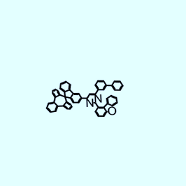 c1ccc(-c2cccc(-c3cc(-c4ccc5c(c4)-c4ccccc4C54c5ccccc5-c5ccccc5-c5ccccc54)nc(-c4cccc5oc6ccccc6c45)n3)c2)cc1